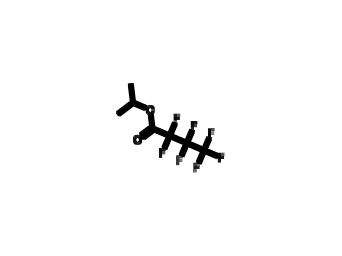 CC(C)OC(=O)C(F)(F)C(F)(F)C(F)(F)F